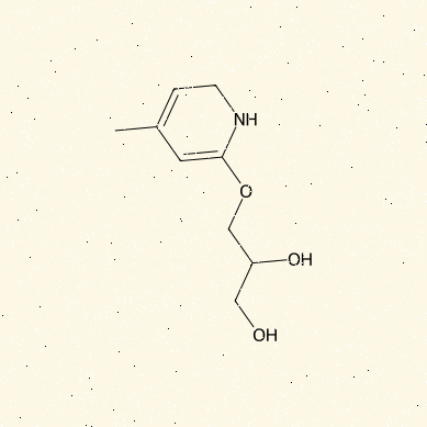 CC1=CCNC(OCC(O)CO)=C1